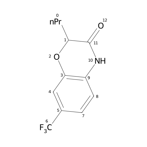 CCCC1Oc2cc(C(F)(F)F)ccc2NC1=O